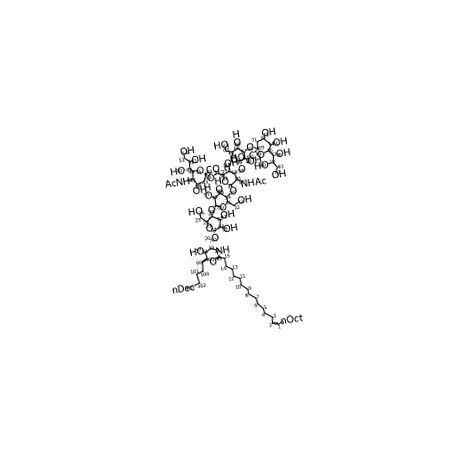 CCCCCCCC/C=C\CCCCCCCCCCCCCC(=O)N[C@@H](CO[C@@H]1OC(CO)[C@@H](O[C@@H]2OC(CO)[C@H](O[C@@H]3OC(CO[C@]4(C(=O)O)CC(O)[C@@H](NC(C)=O)C([C@H](O)[C@H](O)CO)O4)[C@H](O)[C@H](O[C@@H]4OC(CO)[C@H](O)[C@H](O[C@]5(C(=O)O)CC(O)[C@@H](O)C([C@H](O)[C@H](O)CO)O5)C4O)C3NC(C)=O)[C@H](O)C2O)[C@H](O)C1O)[C@H](O)/C=C/CCCCCCCCCCCCC